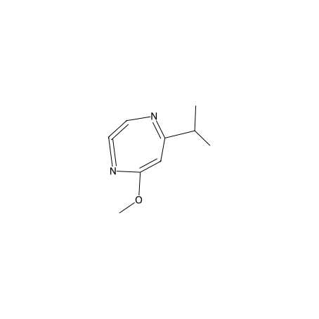 COC1=CC(C(C)C)=NC=C=N1